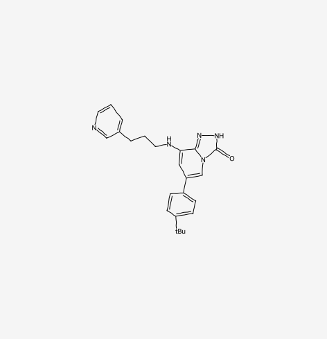 CC(C)(C)c1ccc(-c2cc(NCCCc3cccnc3)c3n[nH]c(=O)n3c2)cc1